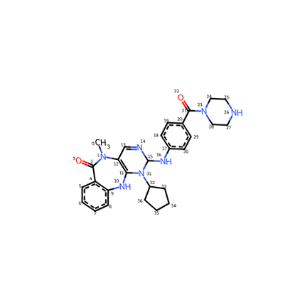 CN1C(=O)c2ccccc2NC2=C1C=NC(Nc1ccc(C(=O)N3CCNCC3)cc1)N2C1CCCC1